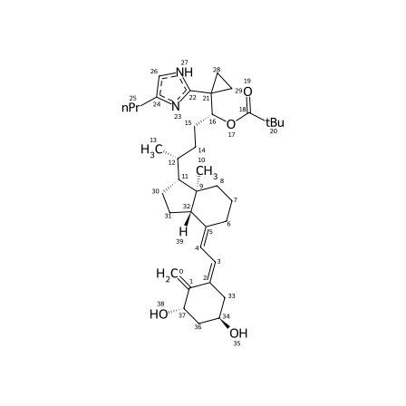 C=C1/C(=C\C=C2/CCC[C@]3(C)[C@@H]([C@H](C)CC[C@@H](OC(=O)C(C)(C)C)C4(c5nc(CCC)c[nH]5)CC4)CC[C@@H]23)C[C@@H](O)C[C@@H]1O